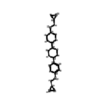 c1cc(C2CCC(C3CCC(OCC4CO4)CC3)CC2)ccc1OCC1CO1